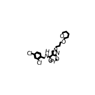 CC(C)Oc1nn(CCCOC2CCCCO2)cc1C(=O)NCc1ccc(Cl)cc1Cl